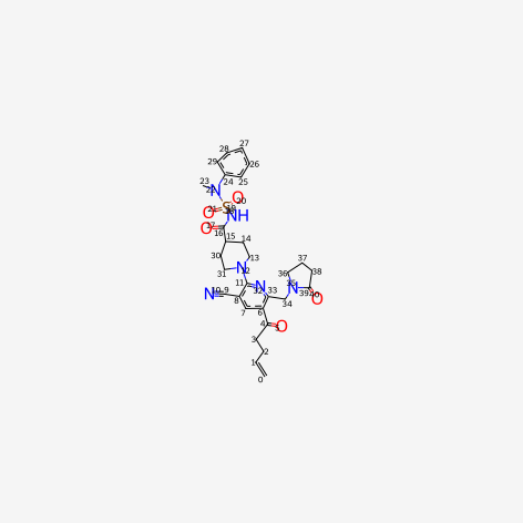 C=CCCC(=O)c1cc(C#N)c(N2CCC(C(=O)NS(=O)(=O)N(C)c3ccccc3)CC2)nc1CN1CCCC1=O